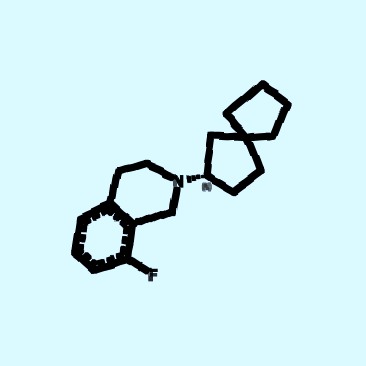 Fc1cccc2c1CN([C@H]1CCC3(CCCC3)C1)CC2